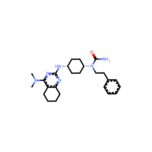 CN(C)c1nc(N[C@H]2CC[C@@H](N(CCc3ccccc3)C(N)=O)CC2)nc2c1CCCC2